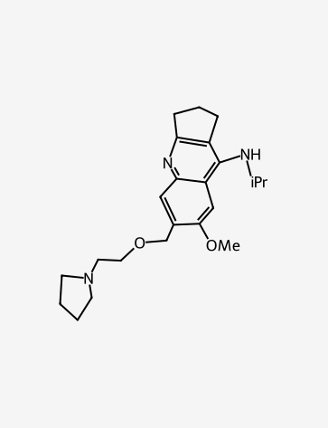 COc1cc2c(NC(C)C)c3c(nc2cc1COCCN1CCCC1)CCC3